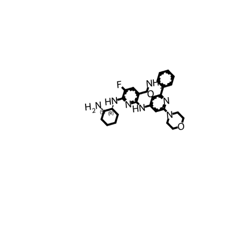 NC(=O)c1cc(F)c(N[C@@H]2CCCC[C@@H]2N)nc1Nc1cc(-c2ccccc2)nc(N2CCOCC2)c1